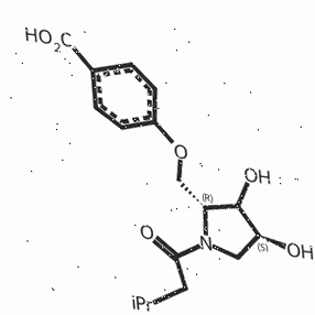 CC(C)CC(=O)N1C[C@H](O)C(O)[C@H]1COc1ccc(C(=O)O)cc1